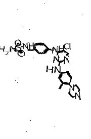 Cc1cc(Nc2ncc(Cl)c(Nc3ccc(CNS(N)(=O)=O)cc3)n2)ccc1N1CCN(C)CC1